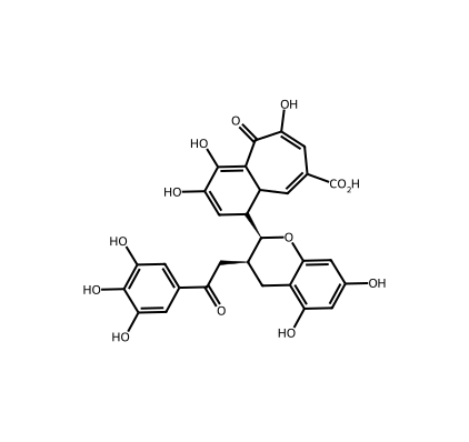 O=C(O)C1=CC2C(=C(O)C(O)=CC2[C@H]2Oc3cc(O)cc(O)c3C[C@H]2CC(=O)c2cc(O)c(O)c(O)c2)C(=O)C(O)=C1